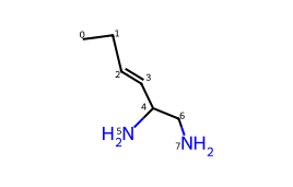 CCC=CC(N)CN